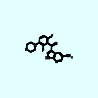 Cc1cnc2[nH]cc(C(=O)c3c(F)ccc(N4CCOCC4)c3F)c2c1